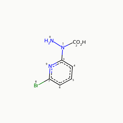 NN(C(=O)O)c1cccc(Br)n1